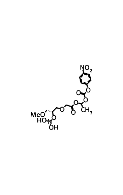 COC[C@H](COCC(=O)OC(C)OC(=O)Oc1ccc([N+](=O)[O-])cc1)ON(O)O